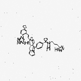 O=C(C=Cc1cc(Cl)ccc1-n1cnnn1)NC(Cc1ccccc1)C(=O)Nc1ccc(C(=O)NCCCc2nnn[nH]2)cc1